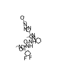 CCN1C[C@@H](NC(=O)Nc2c(C)c(-c3cnc(N4CC(OC)C4)nc3)nn2-c2ccccc2)[C@H](c2ccc(F)c(F)c2)O1